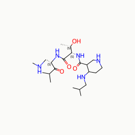 CNC[C@H](NC(=O)[C@@H](NC(=O)C1CNCCC1NCC(C)C)[C@H](C)O)C(=O)C(C)C